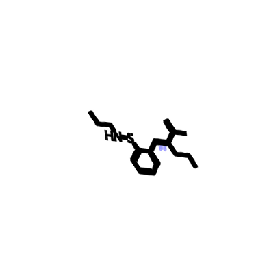 C=C(C)/C(=C/c1ccccc1SNCCC)CCC